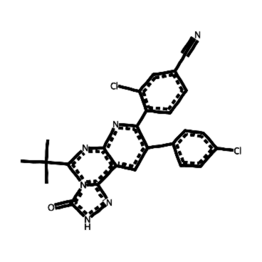 CC(C)(C)c1nc2nc(-c3ccc(C#N)cc3Cl)c(-c3ccc(Cl)cc3)cc2c2n[nH]c(=O)n12